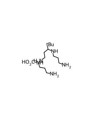 CC(C)(C)C(CCN)NCCCN.NCCCNC(=O)O